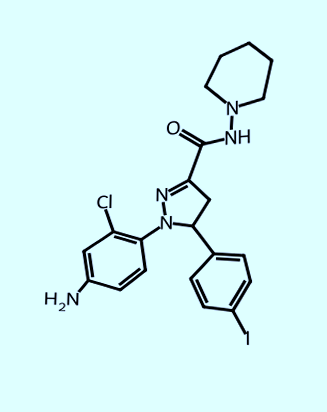 Nc1ccc(N2N=C(C(=O)NN3CCCCC3)CC2c2ccc(I)cc2)c(Cl)c1